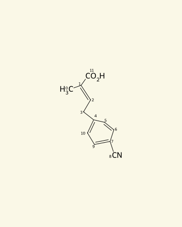 CC(=CCc1ccc(C#N)cc1)C(=O)O